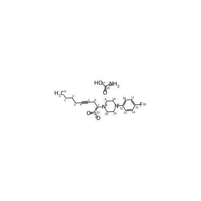 CCCCC#CCC(N1CCN(c2ccc(F)cc2)CC1)=S(=O)=O.NC(=O)O